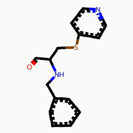 O=CC(CSc1ccncc1)NCc1ccccc1